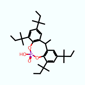 CCC(C)(C)c1cc2c(c(C(C)(C)CC)c1)OP(=O)(O)Oc1c(cc(C(C)(C)CC)cc1C(C)(C)CC)C2C